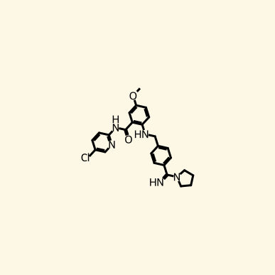 COc1ccc(NCc2ccc(C(=N)N3CCCC3)cc2)c(C(=O)Nc2ccc(Cl)cn2)c1